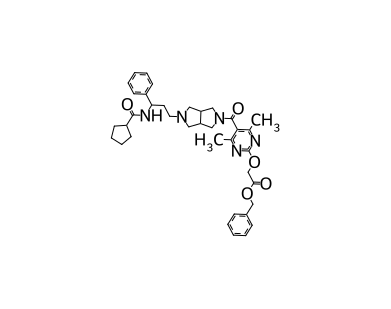 Cc1nc(OCC(=O)OCc2ccccc2)nc(C)c1C(=O)N1CC2CN(CCC(NC(=O)C3CCCC3)c3ccccc3)CC2C1